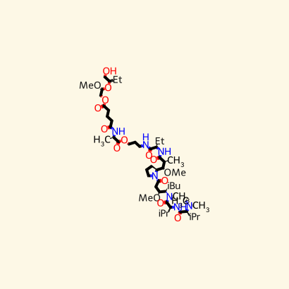 CCC(CO)OC(COC(=O)CCCC(=O)N[C@@H](C)C(=O)OCCCNC(=O)[C@H](CC)NC(=O)[C@H](C)[C@@H](OC)[C@@H]1CCCN1C(=O)C[C@@H](OC)[C@H]([C@@H](C)CC)N(C)C(=O)[C@@H](NC(=O)[C@H](C(C)C)N(C)C)C(C)C)OC